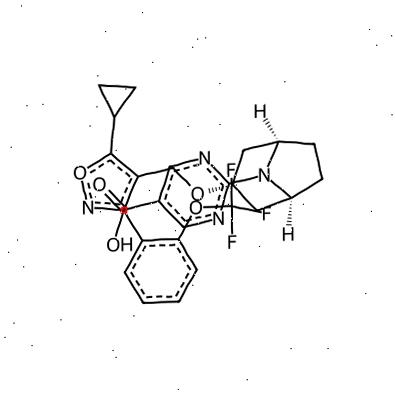 O=C(O)c1cnc(N2[C@@H]3CC[C@H]2C[C@H](OCc2c(-c4ccccc4OC(F)(F)F)noc2C2CC2)C3)nc1